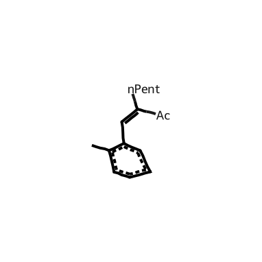 CCCCCC(=Cc1ccccc1C)C(C)=O